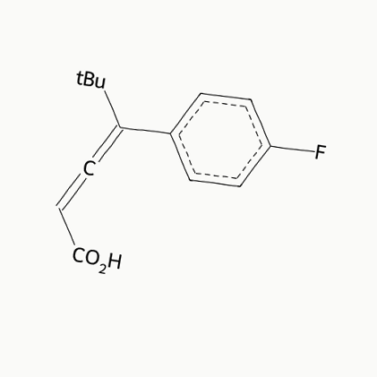 CC(C)(C)C(=C=CC(=O)O)c1ccc(F)cc1